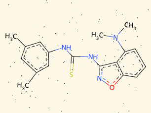 Cc1cc(C)cc(NC(=S)Nc2noc3cccc(N(C)C)c23)c1